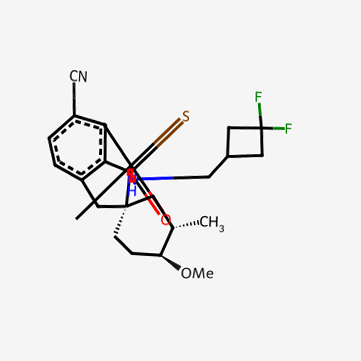 CO[C@H]1CC[C@@]2(Cc3ccc(C#N)cc3[C@]23NC(=S)N(CC2CC(F)(F)C2)C3=O)C[C@@H]1C